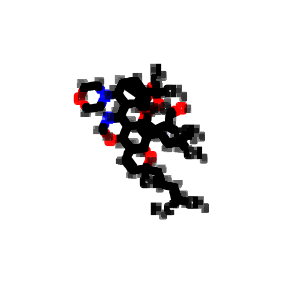 COC(=O)/C(C)=C\CC12OC(C)(C)C3CC(C1=O)C(N1CCOCC1)C1C4=NCOC5C6=C(OC(C)(CCC=C(C)C)C=C6)C(CC=C(C)C)=C(OC132)C45